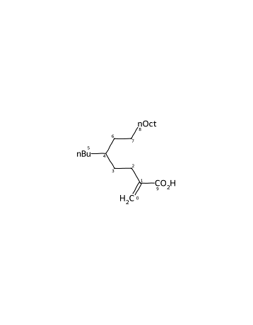 C=C(CCC(CCCC)CCCCCCCCCC)C(=O)O